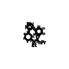 CCCC(=O)N(CC)C1CCCC(c2nnnn2-c2ccccc2)C1